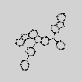 c1ccc(-c2ccc(-n3c4ccc(N(c5ccccc5)c5ccc6c(c5)oc5ccccc56)cc4c4ccc5oc6ccccc6c5c43)nn2)cc1